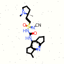 CC1CCc2c1nc1c(c2NC(=O)NS(=O)(/C=C/[C@]2(C)CCCN2C)=NC#N)CCC1